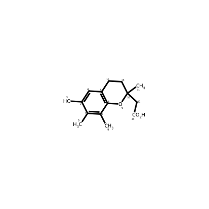 Cc1c(O)cc2c(c1C)OC(C)(CC(=O)O)CC2